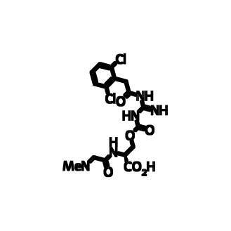 CNCC(=O)N[C@@H](COC(=O)NC(=N)NC(=O)Cc1c(Cl)cccc1Cl)C(=O)O